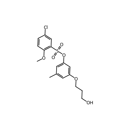 COc1ccc(Cl)cc1S(=O)(=O)Oc1cc(C)cc(OCCCO)c1